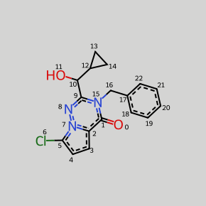 O=c1c2ccc(Cl)n2nc(C(O)C2CC2)n1Cc1ccccc1